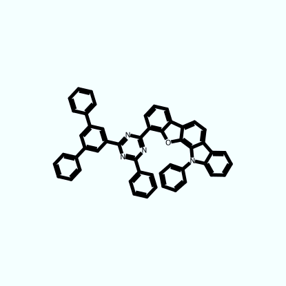 c1ccc(-c2cc(-c3ccccc3)cc(-c3nc(-c4ccccc4)nc(-c4cccc5c4oc4c5ccc5c6ccccc6n(-c6ccccc6)c54)n3)c2)cc1